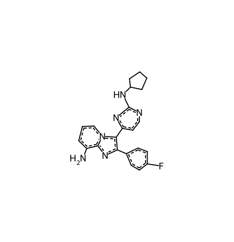 Nc1cccn2c(-c3ccnc(NC4CCCC4)n3)c(-c3ccc(F)cc3)nc12